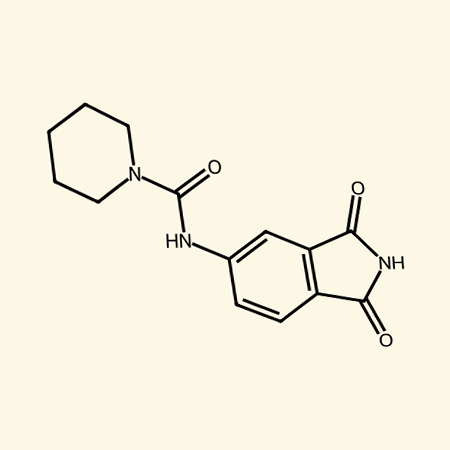 O=C1NC(=O)c2cc(NC(=O)N3CCCCC3)ccc21